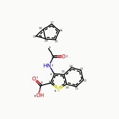 CC(=O)Nc1c(C(=O)O)sc2ccccc12.c1cc2cc-2c1